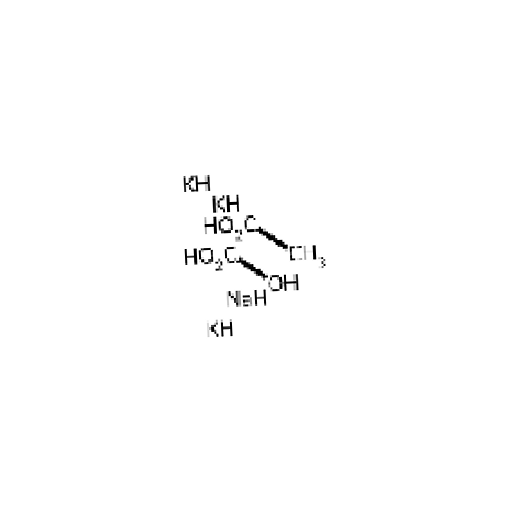 CC(=O)O.O=C(O)O.[KH].[KH].[KH].[NaH]